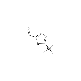 [CH3][Sn]([CH3])([CH3])[c]1ccc(C=O)s1